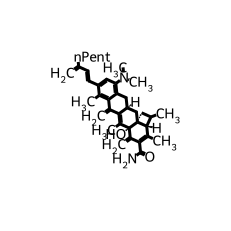 C=C(/C=C/c1cc(N(C)C)c2c(c1C)C(=C)C1=C(C)[C@]3(O)C(=C)C(C(N)=O)=C(C)[C@H]4C(C)C[C@]43C[C@@H]1C2)CCCCC